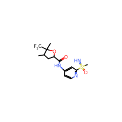 CC1CC(C(=O)Nc2ccnc(S(C)(=N)=O)c2)OC1(C)C(F)(F)F